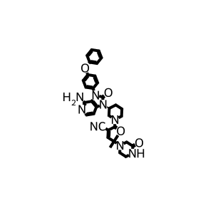 CC(C)(/C=C(/C#N)C(=O)N1CCC[C@@H](n2c(=O)n(-c3ccc(Oc4ccccc4)cc3)c3c(N)nccc32)C1)N1CCNC(=O)C1